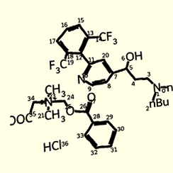 CCCCN(CCCC)CCC(O)c1ccnc(-c2c(C(F)(F)F)cccc2C(F)(F)F)c1.C[N+](C)(COC(=O)c1ccccc1)CC(=O)[O-].Cl